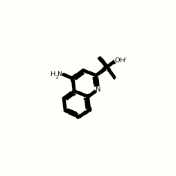 CC(C)(O)c1cc(N)c2ccccc2n1